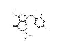 CC(C)[C@H](c1ccc(C(F)(F)F)cc1F)n1nc(CO)c2c(=O)[nH]c(N(C)C)nc21